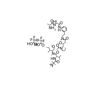 CC[C@H](C)[C@@H]([C@@H](CC(=O)N1CCC[C@H]1[C@H](OC)[C@@H](C)C(=O)N(C)CCc1cccc(NC(=O)[C@H](C)NC(=O)[C@H](C)N)c1)OC)N(C)C(=O)[C@@H](NC(=O)C(C)(C)N(C)C)C(C)C.O=C(O)C(F)(F)F.O=C(O)C(F)(F)F